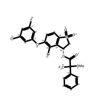 COC(C(=O)O[C@H]1CS(=O)(=O)c2ccc(Oc3cc(F)cc(Cl)c3)c(Br)c21)(c1ccccc1)C(F)(F)F